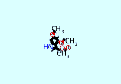 CCOc1cc(OCC)c2c(C(C)OC=O)c[nH]c2c1